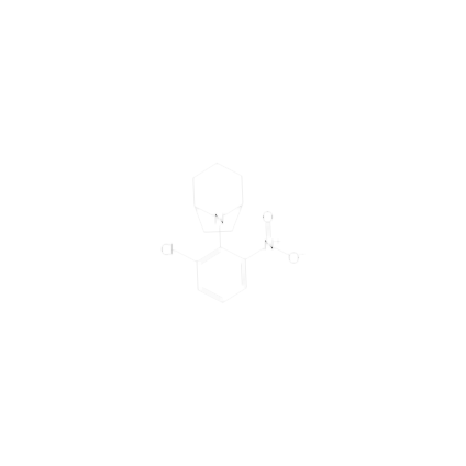 O=[N+]([O-])c1cccc(Cl)c1N1C2CCCC1CC2